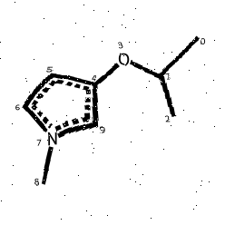 CC(C)Oc1ccn(C)c1